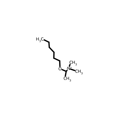 CCCCCCOC(C)[N+](C)C